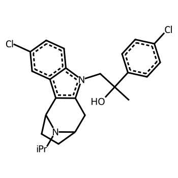 CC(C)N1C2CCC1c1c(n(CC(C)(O)c3ccc(Cl)cc3)c3ccc(Cl)cc13)C2